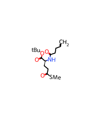 C=CCCC(=O)N[C@@H](CCC(=O)SC)C(=O)OC(C)(C)C